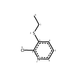 CCSc1cccnc1Cl